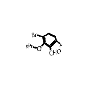 CCCOc1c(Br)ccc(F)c1C=O